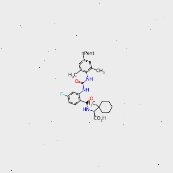 CCCCCc1cc(C)c(NC(=O)Nc2cc(F)ccc2C(=O)N[C@H](C(=O)O)C2(C)CCCCC2)c(C)c1